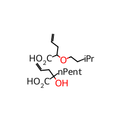 C=CCC(O)(CCCCC)C(=O)O.C=CCC(OCCC(C)C)C(=O)O